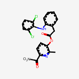 Cc1nc(C(=O)[N+](=O)[O-])ccc1OC(=O)Cc1ccccc1Nc1c(Cl)cccc1Cl